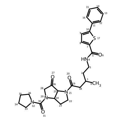 CC(CCNC(=O)c1ccc(-c2ccccc2)s1)CC(=O)N1CCC2C1C(=O)CN2C(=O)N1CCCC1